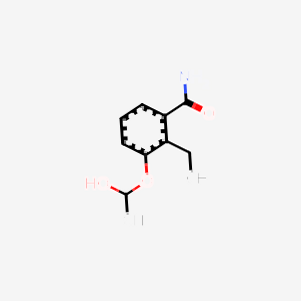 CCc1c(OC(C)O)cccc1C(N)=O